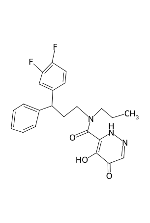 CCCN(CCC(c1ccccc1)c1ccc(F)c(F)c1)C(=O)c1[nH]ncc(=O)c1O